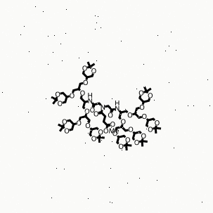 COC(=O)CCC(=O)N(CC(=O)NC(COC(COC1COC(C)(C)OC1)COC1COC(C)(C)OC1)COC(COC1COC(C)(C)OC1)COC1COC(C)(C)OC1)CC(=O)NC(COC(COC1COC(C)(C)OC1)COC1COC(C)(C)OC1)COC(COC1COC(C)(C)OC1)COC1COC(C)(C)OC1